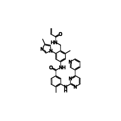 C=CC(=O)NCc1c(C)cc(NC(=O)c2ccc(C)c(Nc3nccc(-c4cccnc4)n3)c2)cc1-n1cnc(C)c1